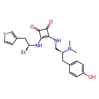 CC[C@@H](Cc1ccsc1)Nc1c(NC[C@H](Cc2ccc(O)cc2)N(C)C)c(=O)c1=O